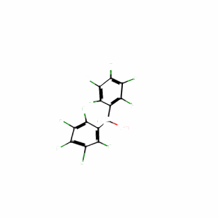 O[SiH](c1c(F)c(F)c(F)c(F)c1F)c1c(F)c(F)c(F)c(F)c1F